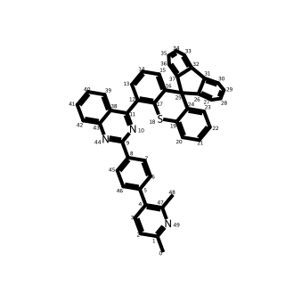 Cc1ccc(-c2ccc(-c3nc(-c4cccc5c4Sc4ccccc4C54c5ccccc5-c5ccccc54)c4ccccc4n3)cc2)c(C)n1